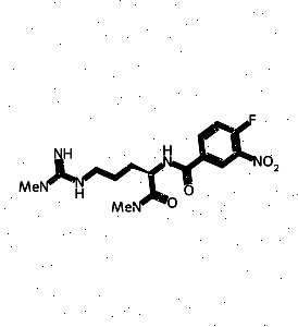 CNC(=N)NCCC[C@@H](NC(=O)c1ccc(F)c([N+](=O)[O-])c1)C(=O)NC